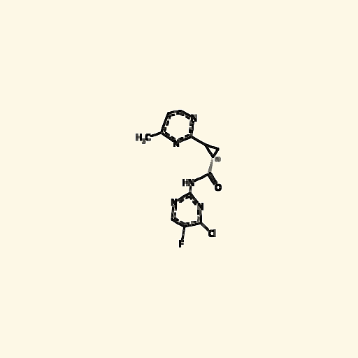 Cc1ccnc(C2C[C@@H]2C(=O)Nc2ncc(F)c(Cl)n2)n1